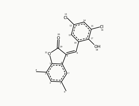 Cc1cc(C)c2c(c1)/C(=C/c1cc(Cl)cc(Cl)c1O)C(=O)O2